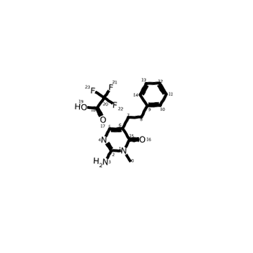 Cn1c(N)ncc(CCc2ccccc2)c1=O.O=C(O)C(F)(F)F